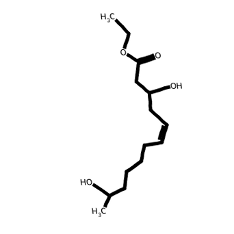 CCOC(=O)CC(O)C/C=C\CCCCC(C)O